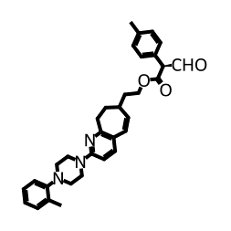 Cc1ccc([C@@H](C=O)C(=O)OCCC2C=Cc3ccc(N4CCN(c5ccccc5C)CC4)nc3CC2)cc1